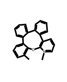 Cc1cccc2c1oc1c(ccc[n+]1C)c1ccccc1c1ccccc21